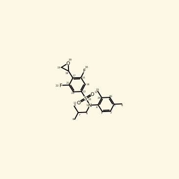 Cc1ccc(N(CC(C)C)S(=O)(=O)c2cc(F)c(C3CO3)c(F)c2)c(C)c1